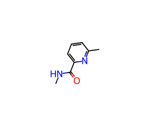 CNC(=O)c1cccc(C)n1